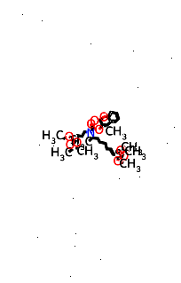 CCO[Si](CCCN(C(=O)Oc1c(C)c2ccccc2oc1=O)C(C)CCCCC=C[Si](OC)(OC)OC)(OCC)OCC